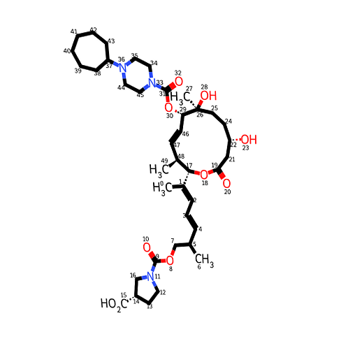 C/C(=C\C=C\C(C)COC(=O)N1CC[C@H](C(=O)O)C1)[C@H]1OC(=O)C[C@@H](O)CC[C@](C)(O)[C@@H](OC(=O)N2CCN(C3CCCCCC3)CC2)/C=C/[C@@H]1C